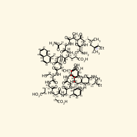 CC/C=C(\C)CN(C)C[C@H](NC(=O)[C@H](C)N)C(=O)N[C@H](C)C(=O)N[C@@H](CC(N)=O)C(=O)N[C@@H](CCC(=O)O)C(=O)N[C@@H](Cc1cccc2ccccc12)C(=O)N[C@H](C)C(=O)N[C@H](CS)C(=O)N[C@@H](CCC(=O)O)C(=O)N[C@@H](CC(=O)O)C(=O)N[C@@H](Cc1ccccc1)C(=O)N[C@@H](Cc1ccc(O)cc1)C(=O)N[C@@H](CC(=O)O)C(=O)N[C@H](C(=O)N[C@@H](CN(C)CC)C(N)=O)C(C)(C)C